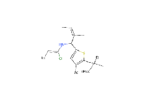 C/C=C(/C)C(N/C(Cl)=C/CC)c1cc(C(C)=O)c(C(C)(CC)CCCCCC)s1